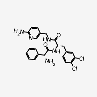 Nc1ccc(CNC(=O)[C@H](Cc2ccc(Cl)c(Cl)c2)NC(=O)[C@H](N)c2ccccc2)cn1